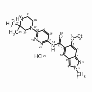 CCOc1cc2nn(C)cc2cc1C(=O)Nc1ccc(N2CCNC(C)(C)C2)nn1.Cl